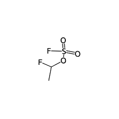 CC(F)OS(=O)(=O)F